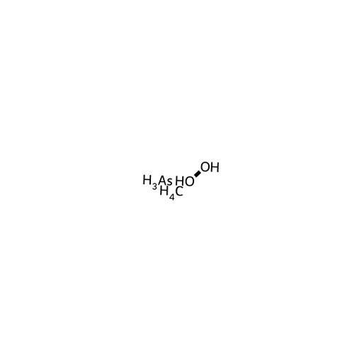 C.OO.[AsH3]